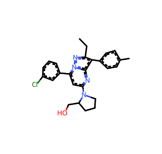 CCc1nn2c(-c3cccc(Cl)c3)cc(N3CCCC3CO)nc2c1-c1ccc(C)cc1